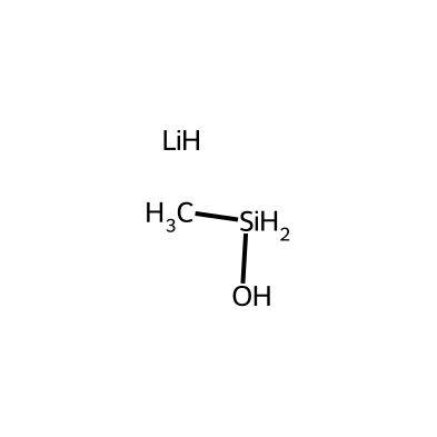 C[SiH2]O.[LiH]